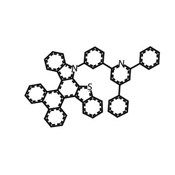 c1ccc(-c2cc(-c3ccccc3)nc(-c3cccc(-n4c5ccccc5c5c6c7ccccc7c7ccccc7c6c6c7ccccc7sc6c54)c3)c2)cc1